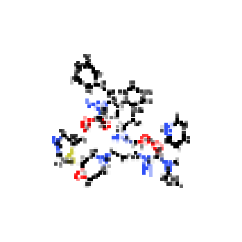 CN(Cc1cccnc1)C(=O)N[C@@H](CCN1CCOCC1)C(=O)N[C@H](CC[C@H](Cc1ccccc1)NC(=O)OCC1CN=CS1)Cc1ccccc1